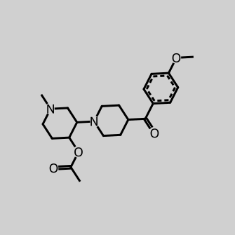 COc1ccc(C(=O)C2CCN(C3CN(C)CCC3OC(C)=O)CC2)cc1